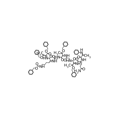 C[C@H](Nc1ccccc1)C(=O)N[C@@H](CCC(N)=O)C(=O)N[C@H](C(=O)NCC(=O)N[C@H](C(=O)NCC(=O)N[C@@H](CCCCNC(=O)OCc1ccccc1)C(=O)N[C@H](C(=O)OCc1ccccc1)[C@@H](C)OCc1ccccc1)[C@@H](C)OCc1ccccc1)[C@@H](C)OCc1ccccc1